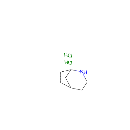 C1CC2CCC(C2)N1.Cl.Cl